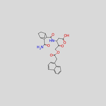 NC(=O)C1C2CCC(C2)C1C(=O)NC(CC(=O)O)C(=O)COC(=O)Cc1cccc2ccccc12